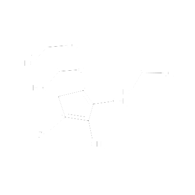 CC1=CC[C]([Zr+3])=C1C.CC[O-].CC[O-].CC[O-]